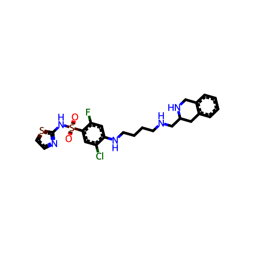 O=S(=O)(Nc1nccs1)c1cc(Cl)c(NCCCCNCC2Cc3ccccc3CN2)cc1F